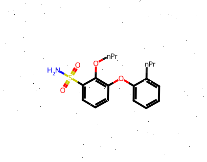 CCCOc1c(Oc2ccccc2CCC)cccc1S(N)(=O)=O